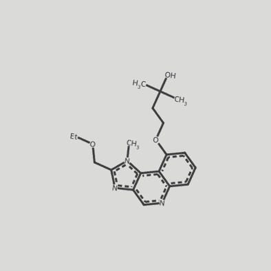 CCOCc1nc2cnc3cccc(OCCC(C)(C)O)c3c2n1C